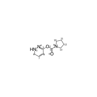 O=C(OC1=NNCC=C1)N1CCCC1